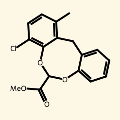 COC(=O)C1Oc2ccccc2Cc2c(C)ccc(Cl)c2O1